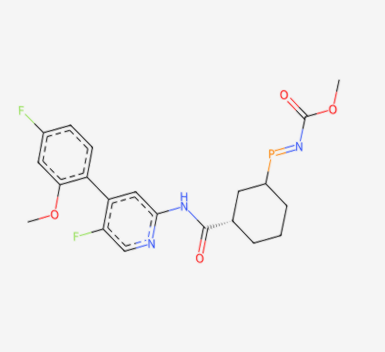 COC(=O)/N=P/C1CCC[C@H](C(=O)Nc2cc(-c3ccc(F)cc3OC)c(F)cn2)C1